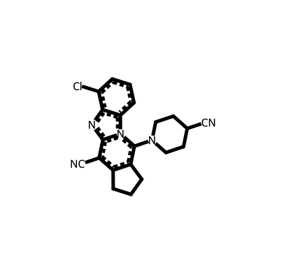 N#Cc1c2c(c(N3CCC(C#N)CC3)n3c1nc1c(Cl)cccc13)CCC2